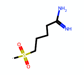 [CH2]S(=O)(=O)CCCCC(=N)N